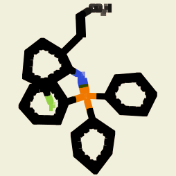 O=C(O)C=Cc1cccc(F)c1N=P(c1ccccc1)(c1ccccc1)c1ccccc1